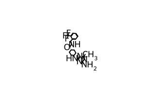 Cc1nc(N)nc(N[C@H]2CC[C@@H](C(=O)NCc3ccccc3C(F)(F)F)CC2)n1